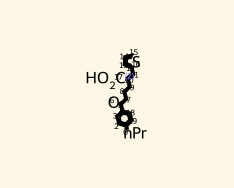 CCCc1ccc(C(=O)CCC/C(=C/c2cccs2)C(=O)O)cc1